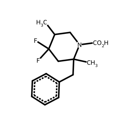 CC1CN(C(=O)O)C(C)(Cc2ccccc2)CC1(F)F